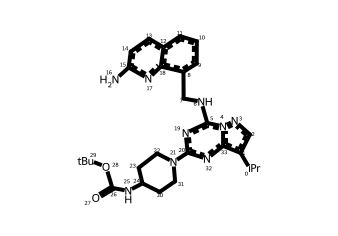 CC(C)c1cnn2c(NCc3cccc4ccc(N)nc34)nc(N3CCC(NC(=O)OC(C)(C)C)CC3)nc12